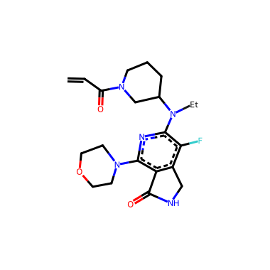 C=CC(=O)N1CCCC(N(CC)c2nc(N3CCOCC3)c3c(c2F)CNC3=O)C1